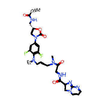 CCN(CCCN(C)C(=O)CNC(=O)C1CN2C=CC=NC2=N1)c1c(F)cc(N2C[C@H](CNC(=O)OC)OC2=O)cc1F